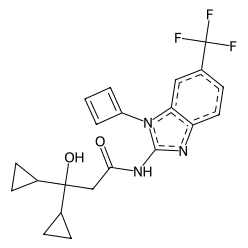 O=C(CC(O)(C1CC1)C1CC1)Nc1nc2ccc(C(F)(F)F)cc2n1C1=CC=C1